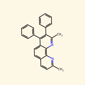 Cc1ccc2ccc3c(-c4ccccc4)c(-c4ccccc4)c(C)nc3c2n1